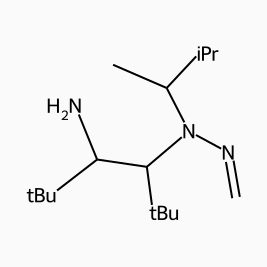 C=NN(C(C)C(C)C)C(C(N)C(C)(C)C)C(C)(C)C